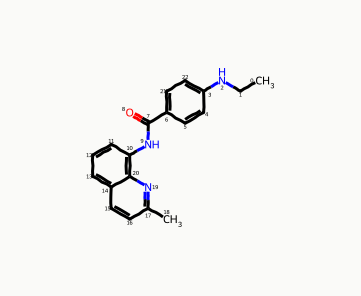 CCNc1ccc(C(=O)Nc2cccc3ccc(C)nc23)cc1